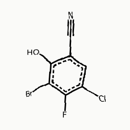 N#Cc1cc(Cl)c(F)c(Br)c1O